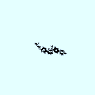 CN(C)CCOc1ccc(-c2ccnc(Nc3ccc(N4CCN(C)CC4)cc3)n2)cn1